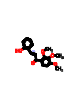 COc1ccc(C(=O)/C=C/c2ccccc2O)c(OC)c1OC